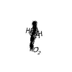 O=C(NCc1ccc(OCc2ccc([N+](=O)[O-])cc2)cc1)[C@H](O)[C@@H](O)C(=O)N1CCN(c2ccccc2)CC1